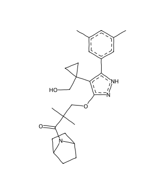 Cc1cc(C)cc(-c2[nH]nc(OCC(C)(C)C(=O)N3C4CCC3CC4)c2C2(CO)CC2)c1